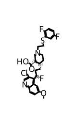 COc1ccc2ncc(Cl)c([C@@H](F)CC[C@H]3CCN(CCSc4cc(F)ccc4F)C[C@H]3C(=O)O)c2c1